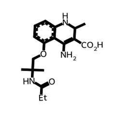 CCC(=O)NC(C)(C)COc1cccc2c1C(N)=C(C(=O)O)C(C)N2